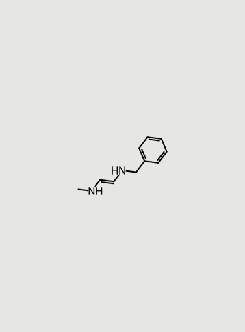 CNC=CNCc1ccccc1